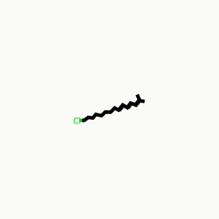 CC(C)=CC=CC=CCCCCCCCCCl